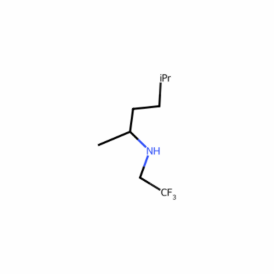 CC(C)CCC(C)NCC(F)(F)F